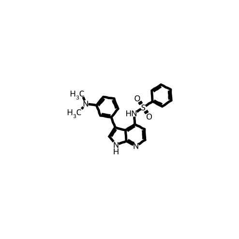 CN(C)c1cccc(-c2c[nH]c3nccc(NS(=O)(=O)c4ccccc4)c23)c1